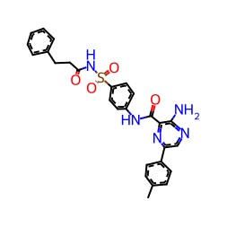 Cc1ccc(-c2cnc(N)c(C(=O)Nc3ccc(S(=O)(=O)NC(=O)CCc4ccccc4)cc3)n2)cc1